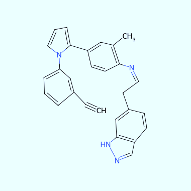 C#Cc1cccc(-n2cccc2-c2ccc(/N=C\Cc3ccc4cn[nH]c4c3)c(C)c2)c1